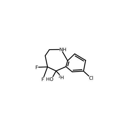 [2H]C1(O)c2cc(Cl)ccc2NCCC1(F)F